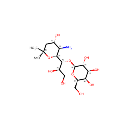 CC(=O)O[C@@]1(C(=O)O)C[C@H](O)[C@@H](N)[C@H]([C@H](O[C@@H]2O[C@H](CO)[C@H](O)[C@H](O)[C@H]2O)[C@H](O)CO)O1